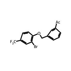 CC(=O)c1cccc(COc2ccc(C(F)(F)F)cc2Br)c1